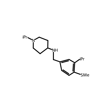 CSc1ccc(CNC2CCN(C(C)C)CC2)cc1C(C)C